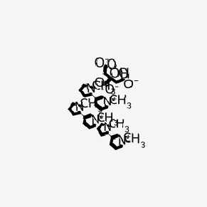 CN1CCC[C@H]1c1ccc[n+](C)c1.CN1CCC[C@H]1c1ccc[n+](C)c1.CN1CCC[C@H]1c1ccc[n+](C)c1.O=C([O-])CC(O)(CC(=O)[O-])C(=O)[O-]